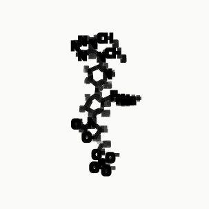 CN(c1ccc(-c2ccc(N3C[C@H](COP(=O)([O-])[O-])OC3=O)cc2F)cn1)c1nnnn1C.[Na+].[Na+]